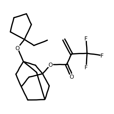 C=C(C(=O)OC12CC3CC(C1)CC(OC1(CC)CCCC1)(C3)C2)C(F)(F)F